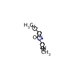 CN1CCC(C2=CN3C(=O)\C=C(c4ccc5nn(C)cc5c4)/C=C/C=C/3C=C2)CC1